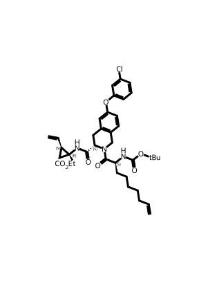 C=CCCCCC[C@H](NC(=O)OC(C)(C)C)C(=O)N1Cc2ccc(Oc3cccc(Cl)c3)cc2C[C@H]1C(=O)N[C@]1(C(=O)OCC)C[C@H]1C=C